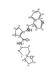 O=C(N[C@H]1CC[C@]2(CC1)OCCS2)c1sccc1NCc1ccnc2ccccc12